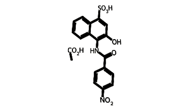 CC(=O)O.O=C(Nc1c(O)cc(S(=O)(=O)O)c2ccccc12)c1ccc([N+](=O)[O-])cc1